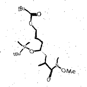 CON(C)C(=O)C(C)C[C@@H](CCCOC(=O)C(C)(C)C)O[Si](C)(C)C(C)(C)C